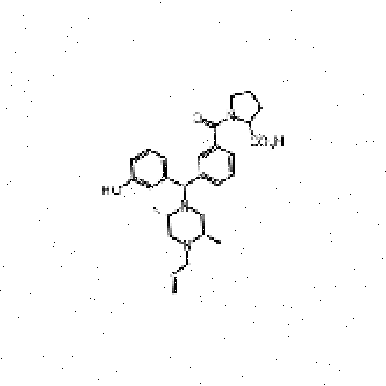 C=CCN1C[C@H](C)N([C@@H](c2cccc(O)c2)c2cccc(C(=O)N3CCC[C@H]3C(=O)O)c2)C[C@H]1C